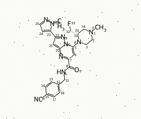 CN1CCN(c2cc(C(=O)NCc3ccc(C#N)cc3)nc3cc(-c4ccnn4C)nn23)[C@H](CF)C1